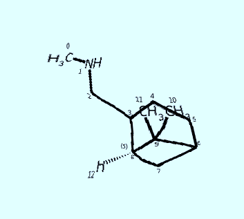 CNCC1CCC2C[C@@H]1C2(C)C